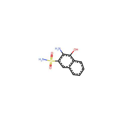 Nc1c(S(N)(=O)=O)cc2ccccc2c1O